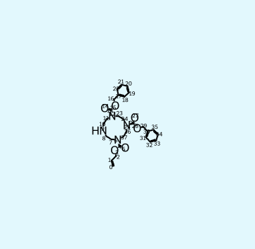 C=CCOC(=O)N1CCNCCN(C(=O)OCc2ccccc2)CCN(C(=O)OCc2ccccc2)CC1